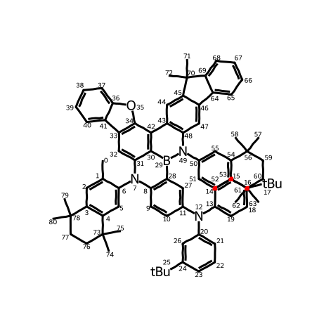 Cc1cc2c(cc1N1c3ccc(N(c4ccc(C(C)(C)C)cc4)c4cccc(C(C)(C)C)c4)cc3B3c4c1cc1c(oc5ccccc51)c4-c1cc4c(cc1N3c1ccc3c(c1)C(C)(C)CCC3(C)C)-c1ccccc1C4(C)C)C(C)(C)CCC2(C)C